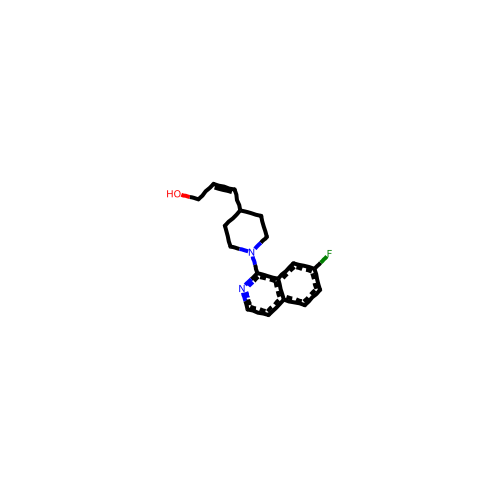 OC/C=C\C1CCN(c2nccc3ccc(F)cc23)CC1